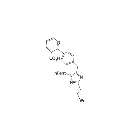 CCCCCn1nc(CCC(C)C)nc1Cc1ccc(-c2ncccc2C(=O)O)cc1